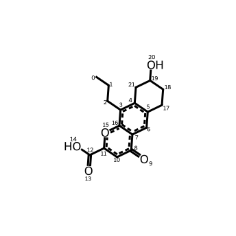 CCCc1c2c(cc3c(=O)cc(C(=O)O)oc13)CCC(O)C2